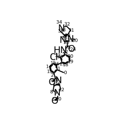 Cc1c(-c2nc3c(o2)CN(C=O)C3)cccc1-c1cccc(NC(=O)c2nc3c(n2C)CCN(C)C3)c1Cl